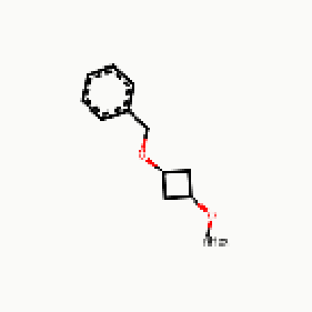 CCCCCCO[C@H]1C[C@@H](OCc2ccccc2)C1